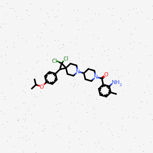 Cc1cccc(C(=O)N2CCC(N3CCC4(CC3)C(c3ccc(OC(C)C)cc3)C4(Cl)Cl)CC2)c1N